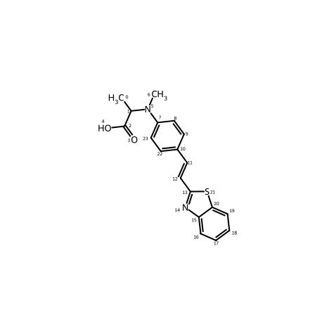 CC(C(=O)O)N(C)c1ccc(C=Cc2nc3ccccc3s2)cc1